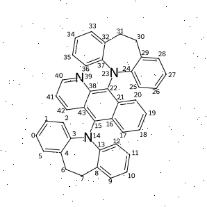 c1ccc2c(c1)CCc1ccccc1N2c1c2ccccc2c(N2c3ccccc3CCc3ccccc32)c2ncccc12